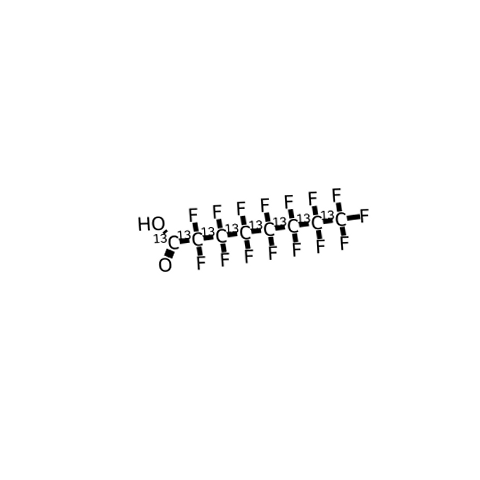 O=[13C](O)[13C](F)(F)[13C](F)(F)[13C](F)(F)[13C](F)(F)[13C](F)(F)[13C](F)(F)[13C](F)(F)F